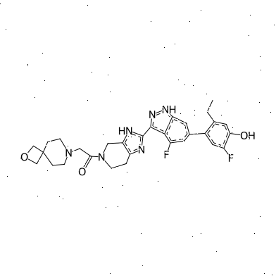 CCc1cc(O)c(F)cc1-c1cc(F)c2c(-c3nc4c([nH]3)CN(C(=O)CN3CCC5(CC3)COC5)CC4)n[nH]c2c1